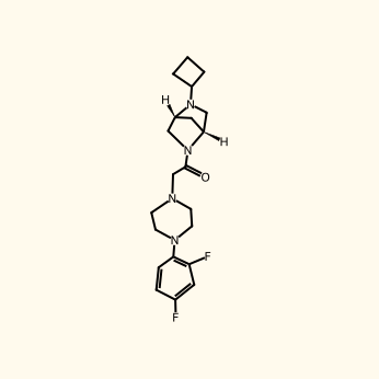 O=C(CN1CCN(c2ccc(F)cc2F)CC1)N1C[C@H]2C[C@@H]1CN2C1CCC1